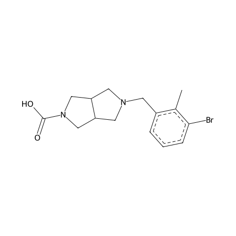 Cc1c(Br)cccc1CN1CC2CN(C(=O)O)CC2C1